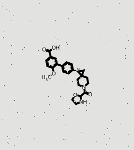 COc1ccc(C(=O)O)cc1-c1ccc([C@H]2CC23CCN(C(=O)C2NCCO2)CC3)cc1